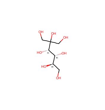 OC[C@@H](O)[C@@H](O)[C@H](O)C(O)(CO)CO